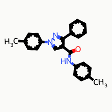 Cc1ccc(NC(=O)c2cn(-c3ccc(C)cc3)nc2-c2ccccc2)cc1